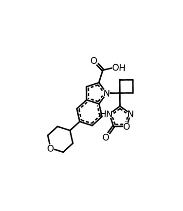 O=C(O)c1cc2cc(C3CCOCC3)ccc2n1C1(c2noc(=O)[nH]2)CCC1